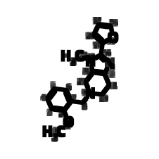 COc1ccccc1CN1CCc2nc(-c3ccco3)n(C)c2C1